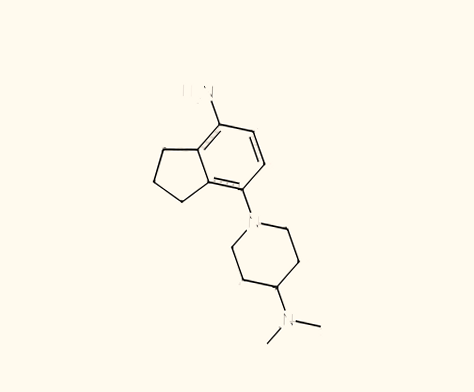 CN(C)C1CCN(c2ccc(N)c3c2CCC3)CC1